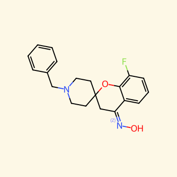 O/N=C1/CC2(CCN(Cc3ccccc3)CC2)Oc2c(F)cccc21